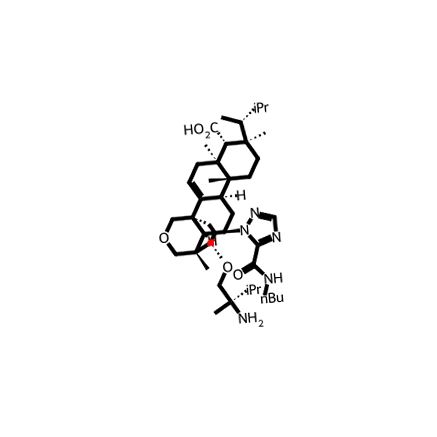 CCCCNC(=O)c1ncnn1[C@@H]1C[C@@]23COC[C@](C)([C@@H]2CC[C@H]2C3=CC[C@@]3(C)[C@H](C(=O)O)[C@@](C)([C@H](C)C(C)C)CC[C@]23C)[C@H]1OC[C@](C)(N)C(C)C